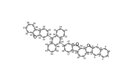 c1ccc2cc3c(cc2c1)oc1c3ccc2c3ccc(-c4c5ccccc5c(-c5ccc6c(c5)oc5ccccc56)c5ccccc45)cc3oc21